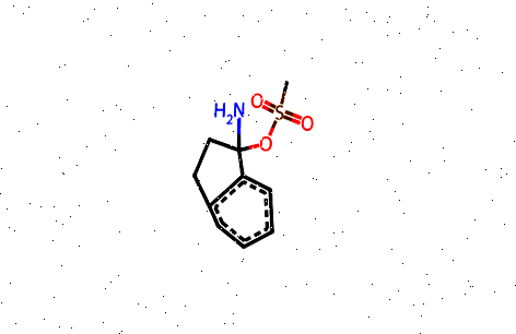 CS(=O)(=O)OC1(N)CCc2ccccc21